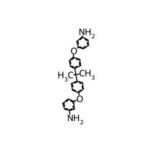 CC(C)(c1ccc(Oc2cccc(N)c2)cc1)c1ccc(Oc2cccc(N)c2)cc1